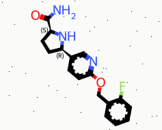 NC(=O)[C@@H]1CC[C@H](c2ccc(OCc3ccccc3F)nc2)N1